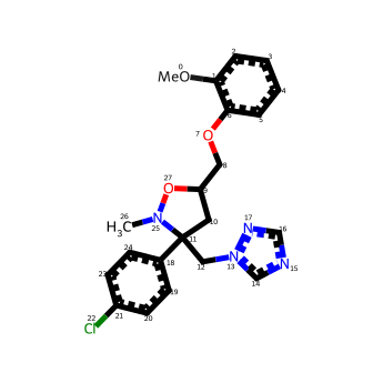 COc1ccccc1OCC1CC(Cn2cncn2)(c2ccc(Cl)cc2)N(C)O1